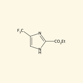 CCOC(=O)c1nc(C(F)(F)F)c[nH]1